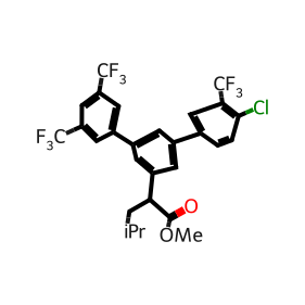 COC(=O)C(CC(C)C)c1cc(-c2cc(C(F)(F)F)cc(C(F)(F)F)c2)cc(-c2ccc(Cl)c(C(F)(F)F)c2)c1